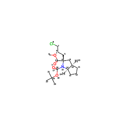 COC(=O)[C@]1(CCCCl)C[C@H]2CCC[C@H]2N1C(=O)OC(C)(C)C